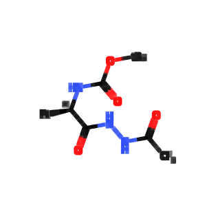 CC[C@@H](NC(=O)OC(C)(C)C)C(=O)NNC(=O)C(F)(F)F